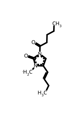 [CH2]n1c(C=CCC)cn(C(=O)CCCC)c1=O